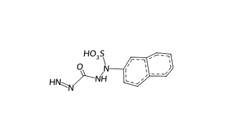 N=NC(=O)NN(c1ccc2ccccc2c1)S(=O)(=O)O